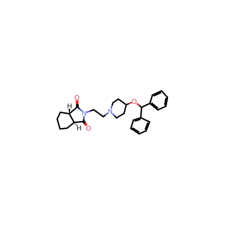 O=C1[C@H]2CCCC[C@@H]2C(=O)N1CCN1CCC(OC(c2ccccc2)c2ccccc2)CC1